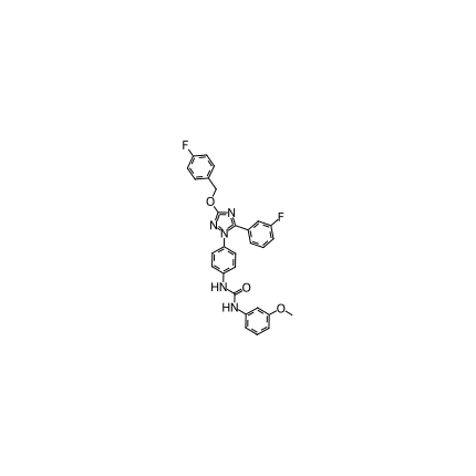 COc1cccc(NC(=O)Nc2ccc(-n3nc(OCc4ccc(F)cc4)nc3-c3cccc(F)c3)cc2)c1